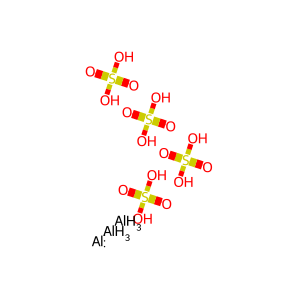 O=S(=O)(O)O.O=S(=O)(O)O.O=S(=O)(O)O.O=S(=O)(O)O.[AlH3].[AlH3].[Al]